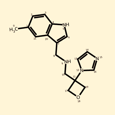 Cc1ccc2[nH]cc(CNCC3(n4ccnc4)COC3)c2c1